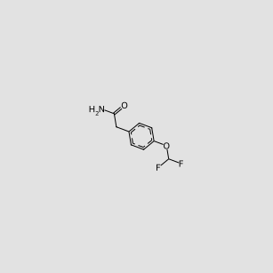 NC(=O)Cc1ccc(OC(F)F)cc1